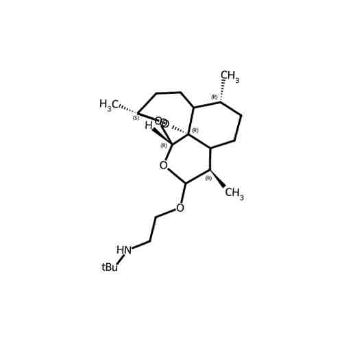 C[C@H]1C(OCCNC(C)(C)C)O[C@@H]2O[C@]3(C)CCC4[C@H](C)CCC1[C@]42OO3